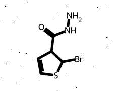 NNC(=O)C1C=CSC1Br